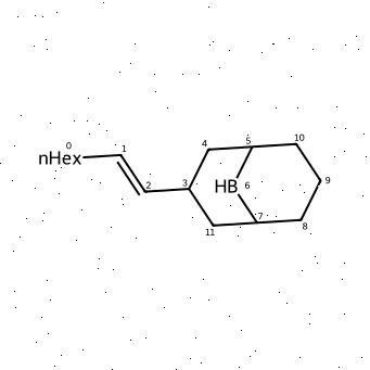 CCCCCCC=CC1CC2BC(CCC2)C1